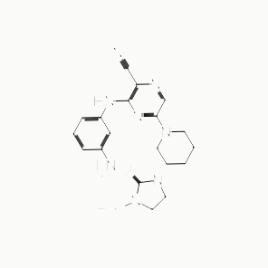 CN1CCN([C@H]2CCCN(c3cnc(C#N)c(Nc4cccc(N)c4)n3)C2)C1=O